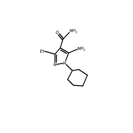 CCc1nn(C2CCCCC2)c(N)c1C(N)=O